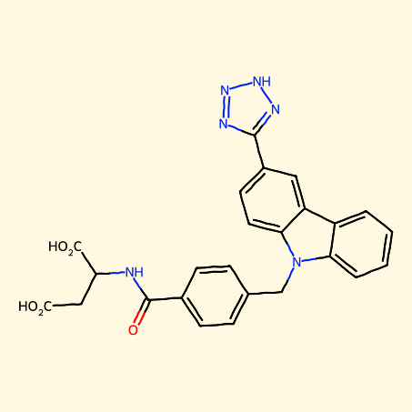 O=C(O)CC(NC(=O)c1ccc(Cn2c3ccccc3c3cc(-c4nn[nH]n4)ccc32)cc1)C(=O)O